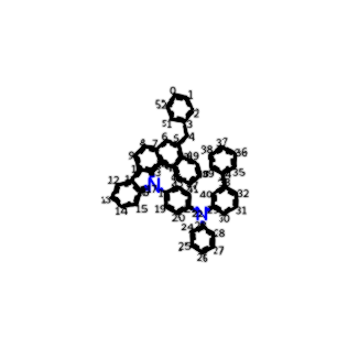 c1ccc(Cc2cc3ccc4c5ccccc5n(-c5ccc(N(c6ccccc6)c6cccc(-c7ccccc7)c6)cc5)c4c3c3ccccc23)cc1